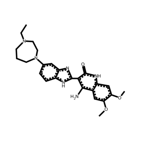 CCN1CCCN(c2ccc3[nH]c(-c4c(N)c5cc(OC)c(OC)cc5[nH]c4=O)nc3c2)CC1